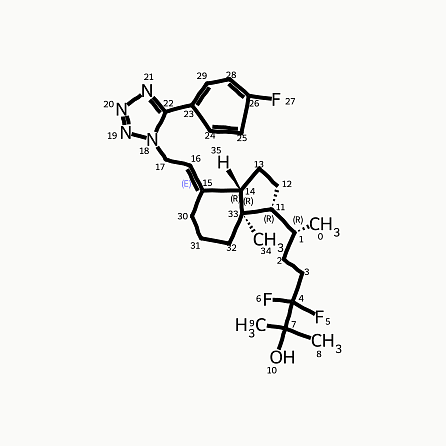 C[C@H](CCC(F)(F)C(C)(C)O)[C@H]1CC[C@H]2/C(=C/Cn3nnnc3-c3ccc(F)cc3)CCC[C@]12C